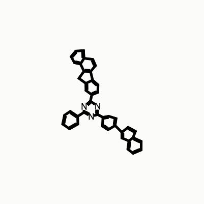 c1ccc(-c2nc(-c3ccc(-c4ccc5ccccc5c4)cc3)nc(-c3ccc4c(c3)Cc3c-4ccc4ccccc34)n2)cc1